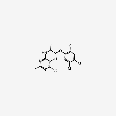 CCc1nc(C)nc(NC(C)COc2nc(Cl)c(Cl)cc2Cl)c1Cl